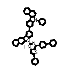 C1=C(c2ccccc2)SC2=C(c3ccc(-c4ccccc4)cc3)N=C(n3c4ccc(-c5ccc6c7c8ccccc8ccc7n(-c7ccccc7)c6c5)cc4c4cc5ccccc5cc43)NC12